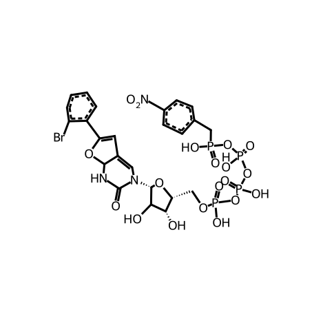 O=C1NC2OC(c3ccccc3Br)=CC2=CN1[C@@H]1O[C@H](COP(=O)(O)OP(=O)(O)OP(=O)(O)OP(=O)(O)Cc2ccc([N+](=O)[O-])cc2)[C@H](O)C1O